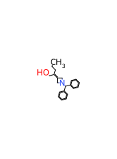 CCCC(CO)=C1CN(C(c2ccccc2)c2ccccc2)C1